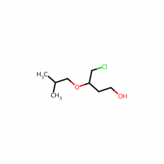 CC(C)COC(CCl)CCO